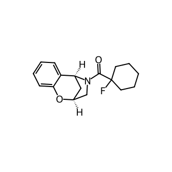 O=C(N1C[C@@H]2C[C@H]1c1ccccc1O2)C1(F)CCCCC1